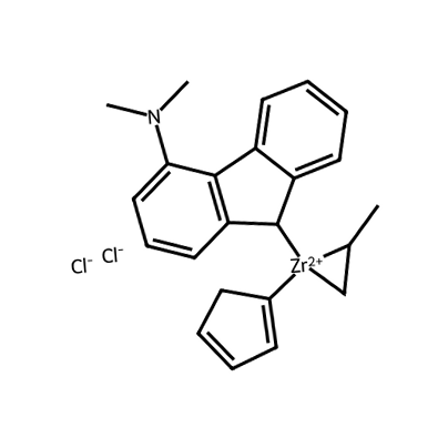 C[CH]1[CH2][Zr+2]1([C]1=CC=CC1)[CH]1c2ccccc2-c2c1cccc2N(C)C.[Cl-].[Cl-]